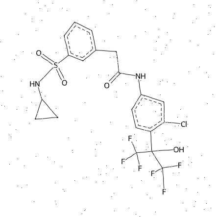 O=C(Cc1cccc(S(=O)(=O)NC2CC2)c1)Nc1ccc(C(O)(C(F)(F)F)C(F)(F)F)c(Cl)c1